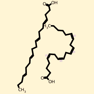 CCCC=CCCC=CCCC=CCCC=CCCC(=O)O.CCCCC/C=C\C/C=C\C/C=C\C/C=C\CCCC(=O)O